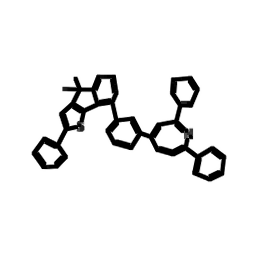 CC1(C)c2cc(-c3ccccc3)sc2-c2c(-c3cccc(C4=CC(c5ccccc5)=NC(c5ccccc5)=C=C4)c3)cccc21